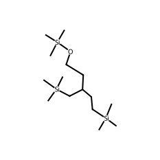 C[Si](C)(C)CCC(CCO[Si](C)(C)C)C[Si](C)(C)C